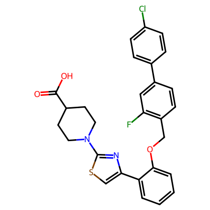 O=C(O)C1CCN(c2nc(-c3ccccc3OCc3ccc(-c4ccc(Cl)cc4)cc3F)cs2)CC1